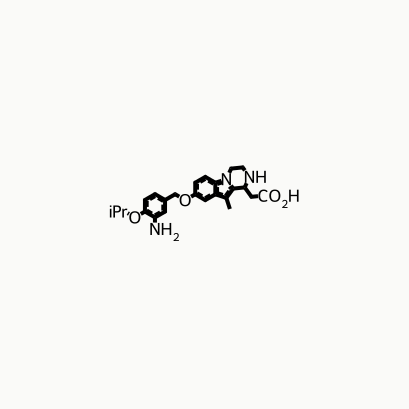 Cc1c2n(c3ccc(OCc4ccc(OC(C)C)c(N)c4)cc13)CCNC2CC(=O)O